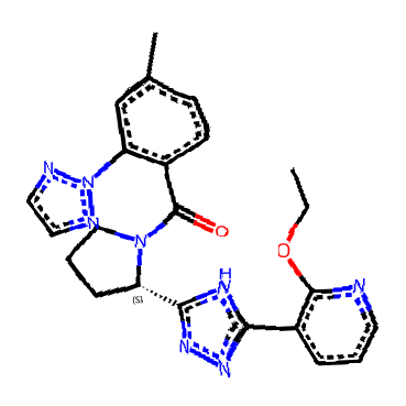 CCOc1ncccc1-c1nnc([C@@H]2CCCN2C(=O)c2ccc(C)cc2-n2nccn2)[nH]1